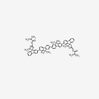 C=C(C)C(=O)OCCCC1(C(=C)C)c2ccccc2-c2ccc(-c3ccc4c(c3)C(C)(C)c3cc(-c5ccc6c(c5)C(C)(C)c5cc(-c7ccc8c(c7)C(CCCOC(=O)C(=C)C)(C(=C)C)c7ccccc7-8)ccc5-6)ccc3-4)cc21